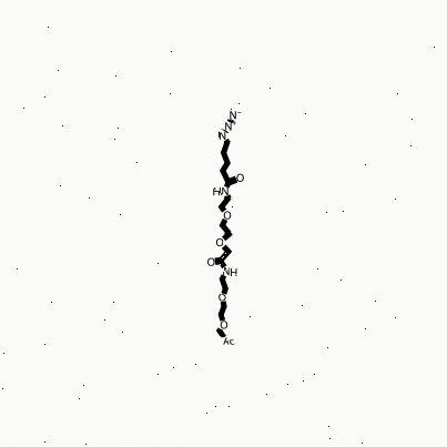 CC(=O)COCCOCCNC(=O)COCCOCCNC(=O)CCCCN=[N+]=[N-]